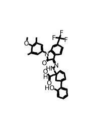 COc1c(C)cc(N2C(=O)C(=NNC3(C(=O)O)C=CC=C(c4ccccc4O)C3)c3ccc(C(F)(F)F)cc32)cc1C